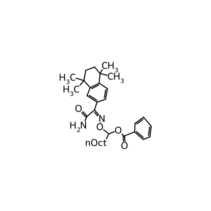 CCCCCCCCC(ON=C(C(N)=O)c1ccc2c(c1)C(C)(C)CCC2(C)C)OC(=O)c1ccccc1